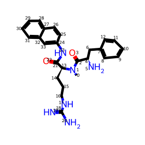 CN(C(=O)[C@@H](N)Cc1ccccc1)[C@@H](CCCNC(=N)N)C(=O)Nc1ccc2ccccc2c1